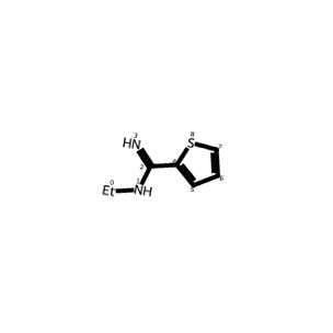 CCNC(=N)c1cccs1